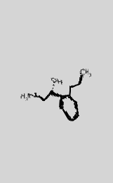 CCCc1ccccc1[C@@H](O)CN